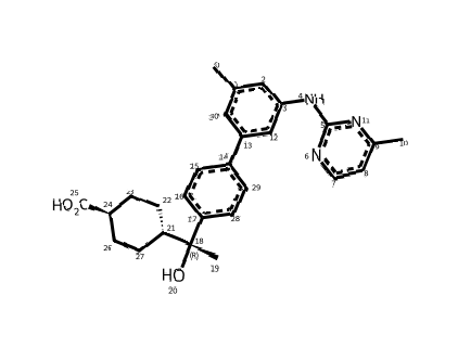 Cc1cc(Nc2nccc(C)n2)cc(-c2ccc([C@](C)(O)[C@H]3CC[C@H](C(=O)O)CC3)cc2)c1